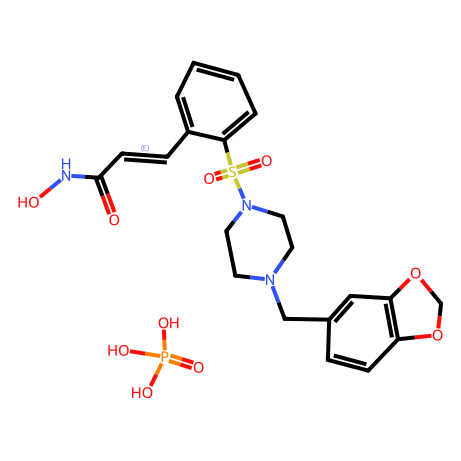 O=C(/C=C/c1ccccc1S(=O)(=O)N1CCN(Cc2ccc3c(c2)OCO3)CC1)NO.O=P(O)(O)O